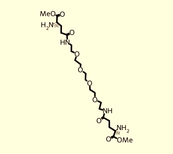 COC(=O)[C@@H](N)CCC(=O)NCCOCCOCCOCCOCCNC(=O)CC[C@H](N)C(=O)OC